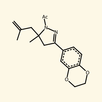 C=C(C)CC1(C)CC(c2ccc3c(c2)OCCO3)=NN1C(C)=O